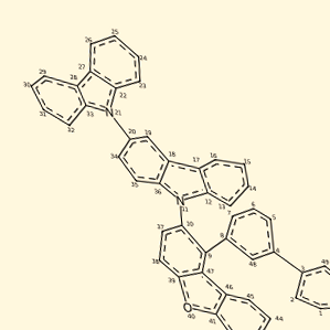 c1ccc(-c2cccc(-c3c(-n4c5ccccc5c5cc(-n6c7ccccc7c7ccccc76)ccc54)ccc4oc5ccccc5c34)c2)cc1